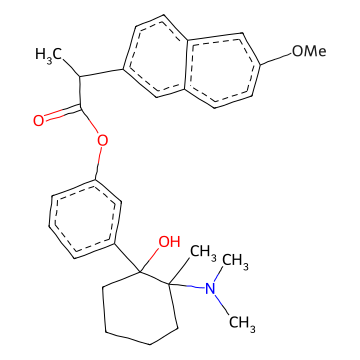 COc1ccc2cc(C(C)C(=O)Oc3cccc(C4(O)CCCCC4(C)N(C)C)c3)ccc2c1